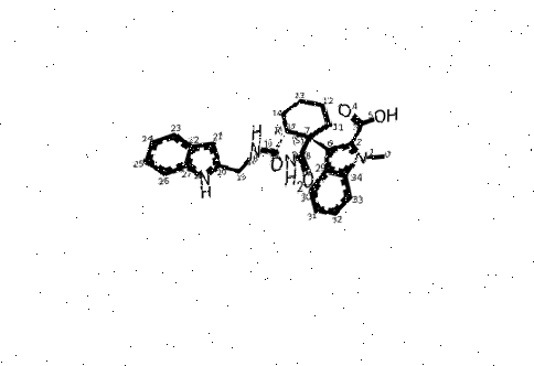 Cn1c(C(=O)O)c([C@]2(C(N)=O)CCCC[C@H]2C(=O)NCc2cc3ccccc3[nH]2)c2ccccc21